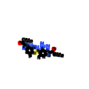 COC(=O)c1nc2cc(C)c(SSc3c(C)cc4nc(C(=O)OC)[nH]c4c3N)c(N)c2[nH]1